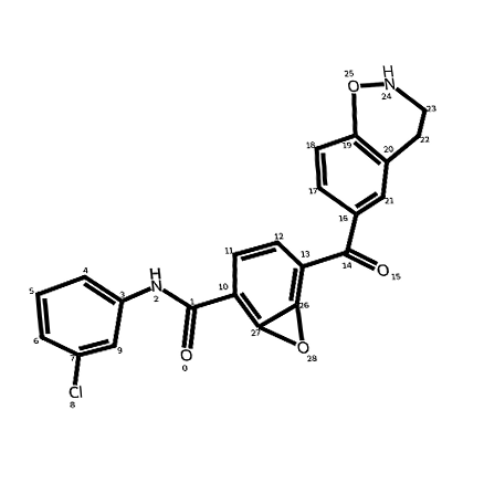 O=C(Nc1cccc(Cl)c1)c1ccc(C(=O)c2ccc3c(c2)CCNO3)c2c1O2